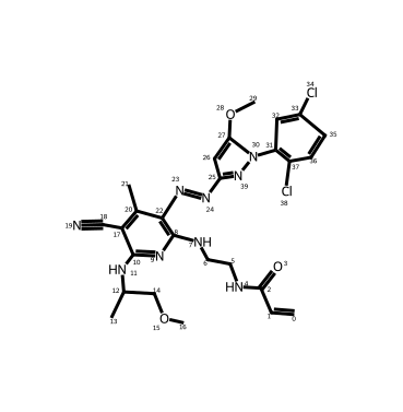 C=CC(=O)NCCNc1nc(NC(C)COC)c(C#N)c(C)c1N=Nc1cc(OC)n(-c2cc(Cl)ccc2Cl)n1